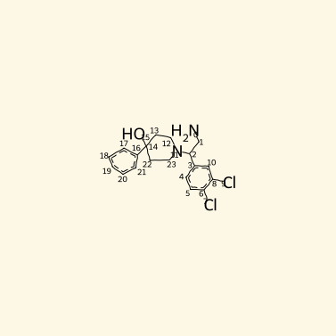 NCC(c1ccc(Cl)c(Cl)c1)N1CCC(O)(c2ccccc2)CC1